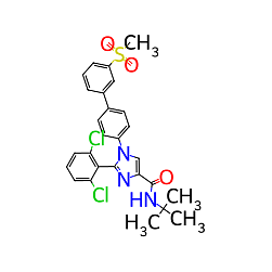 CC(C)(C)NC(=O)c1cn(-c2ccc(-c3cccc(S(C)(=O)=O)c3)cc2)c(-c2c(Cl)cccc2Cl)n1